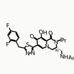 CC(=O)NC[C@@H]1Cn2cc(-c3nnc(Cc4ccc(F)cc4F)s3)c(=O)c(O)c2C(=O)N1C(C)C